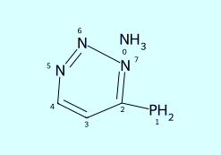 N.Pc1ccnnn1